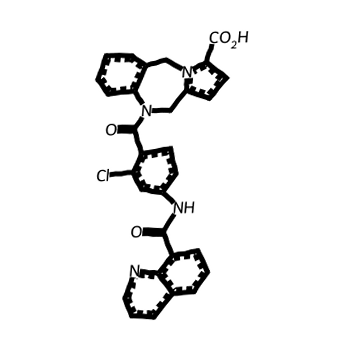 O=C(Nc1ccc(C(=O)N2Cc3ccc(C(=O)O)n3Cc3ccccc32)c(Cl)c1)c1cccc2cccnc12